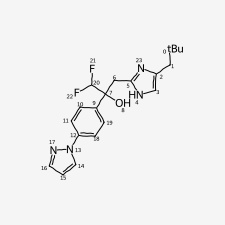 CC(C)(C)Cc1c[nH]c(CC(O)(c2ccc(-n3cccn3)cc2)C(F)F)n1